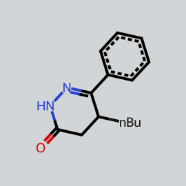 CCCCC1CC(=O)NN=C1c1ccccc1